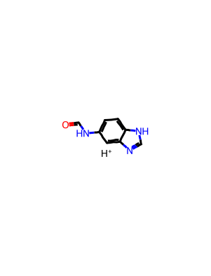 O=CNc1ccc2[nH]cnc2c1.[H+]